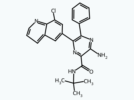 CC(C)(C)NC(=O)c1nc(-c2cc(Cl)c3ncccc3c2)c(-c2ccccc2)nc1N